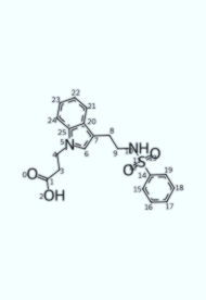 O=C(O)CCn1cc(CCNS(=O)(=O)c2ccccc2)c2ccccc21